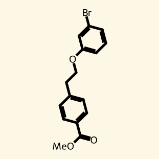 COC(=O)c1ccc(CCOc2cccc(Br)c2)cc1